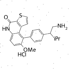 COc1ccc2[nH]c(=O)c3sccc3c2c1-c1ccc(C(CN)C(C)C)cc1.Cl